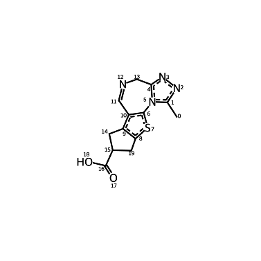 Cc1nnc2n1-c1sc3c(c1C=NC2)CC(C(=O)O)C3